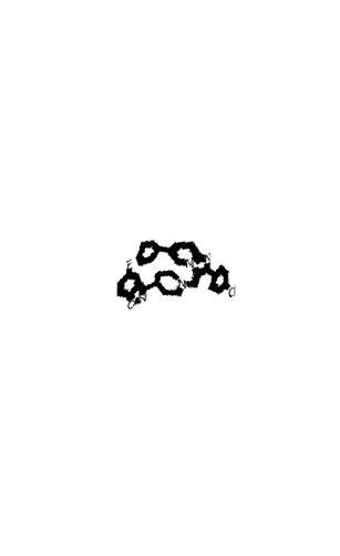 Fc1ccc2onc(C3CCN(Cc4c(-c5ccc(Cl)cc5)nc5ccc(-c6ccccc6)cn45)CC3)c2c1